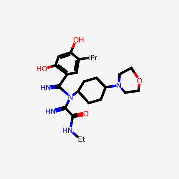 CCNC(=O)C(=N)N(C(=N)c1cc(C(C)C)c(O)cc1O)C1CCC(N2CCOCC2)CC1